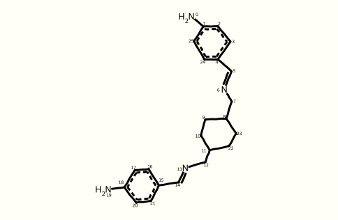 Nc1ccc(/C=N/CC2CCC(C/N=C/c3ccc(N)cc3)CC2)cc1